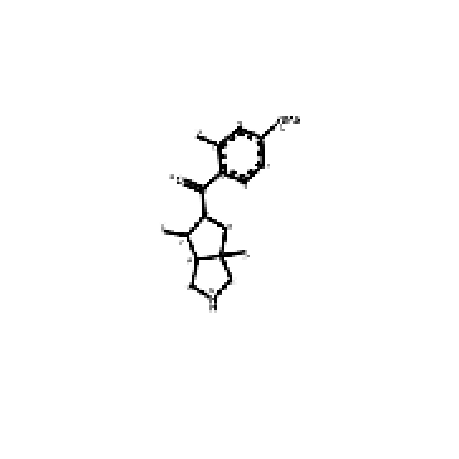 COc1ccc(C(=O)C2CC3(C)CNCC3C2C)c(C)c1